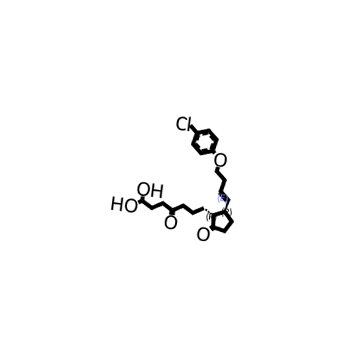 O=C(CCC[C@H]1C(=O)CC[C@@H]1/C=C/CCOc1ccc(Cl)cc1)CCC(O)O